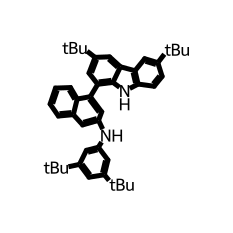 CC(C)(C)c1cc(Nc2cc(-c3cc(C(C)(C)C)cc4c3[nH]c3ccc(C(C)(C)C)cc34)c3ccccc3c2)cc(C(C)(C)C)c1